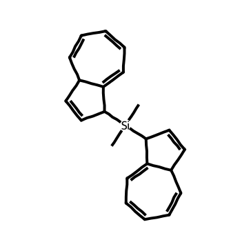 C[Si](C)(C1C=CC2C=CC=CC=C21)C1C=CC2C=CC=CC=C21